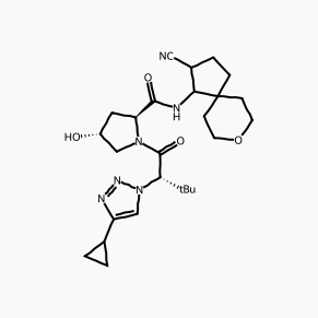 CC(C)(C)[C@@H](C(=O)N1C[C@H](O)C[C@H]1C(=O)NC1C(C#N)CCC12CCOCC2)n1cc(C2CC2)nn1